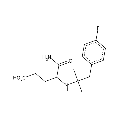 CC(C)(Cc1ccc(F)cc1)NC(CCC(=O)O)C(N)=O